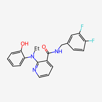 CCN(c1ccccc1O)c1ncccc1C(=O)NCc1ccc(F)c(F)c1